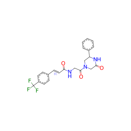 O=C(/C=C/c1ccc(C(F)(F)F)cc1)NCC(=O)N1CC(=O)NC(c2ccccc2)C1